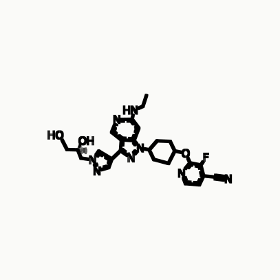 CCNc1cc2c(cn1)c(-c1cnn(C[C@@H](O)CO)c1)nn2C1CCC(Oc2nccc(C#N)c2F)CC1